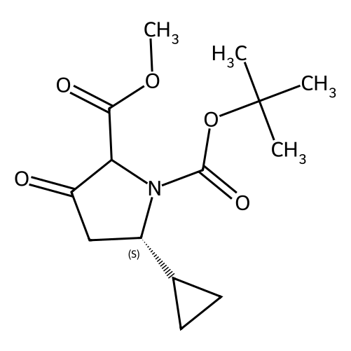 COC(=O)C1C(=O)C[C@@H](C2CC2)N1C(=O)OC(C)(C)C